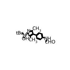 Cc1nn(N(O)C(C)(C)C)c(C)c1-c1ccc(NC=O)cc1